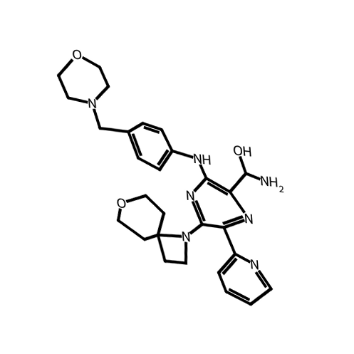 NC(O)c1nc(-c2ccccn2)c(N2CCC23CCOCC3)nc1Nc1ccc(CN2CCOCC2)cc1